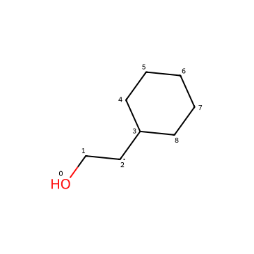 OC[CH]C1CCCCC1